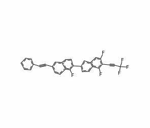 Fc1cc2cc(-c3ccc4cc(C#Cc5ccccc5)ccc4c3F)ccc2c(F)c1C#CC(F)(F)F